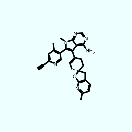 C#Cc1cc(C)c(-c2c(C3=CC[C@]4(CC3)Cc3ccc(C)nc3O4)c3c(N)ncnc3n2C)cn1